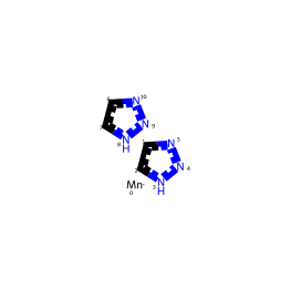 [Mn].c1c[nH]nn1.c1c[nH]nn1